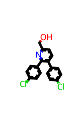 OCc1ccc(-c2ccc(Cl)cc2)c(-c2ccc(Cl)cc2)n1